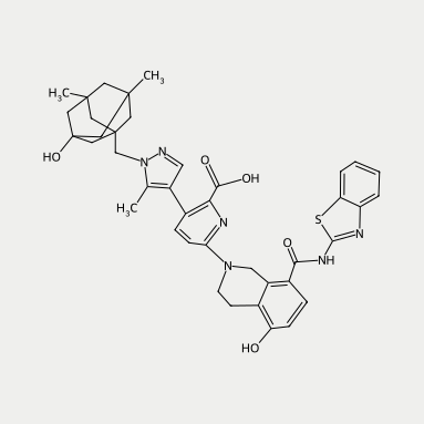 Cc1c(-c2ccc(N3CCc4c(O)ccc(C(=O)Nc5nc6ccccc6s5)c4C3)nc2C(=O)O)cnn1CC12CC3(C)CC(C)(CC(O)(C3)C1)C2